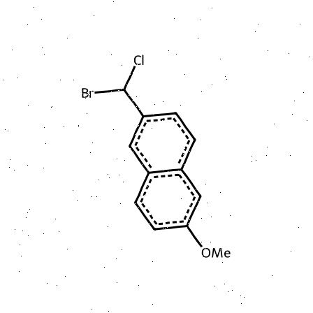 COc1ccc2cc(C(Cl)Br)ccc2c1